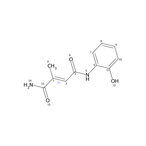 C/C(=C\C(=O)Nc1ccccc1O)C(N)=O